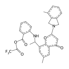 Cc1cc(C(C)Nc2ccccc2C(=O)OC(=O)C(F)(F)F)c2oc(N3Cc4cccc(C)c4C3)cc(=O)c2c1